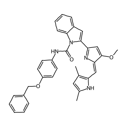 COC1=CC(c2cc3ccccc3n2C(=O)Nc2ccc(OCc3ccccc3)cc2)=N/C1=C\c1[nH]c(C)cc1C